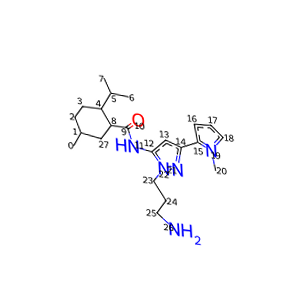 CC1CCC(C(C)C)C(C(=O)Nc2cc(-c3cccn3C)nn2CCCN)C1